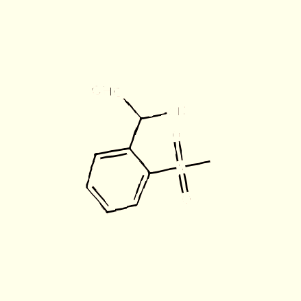 CS(=O)(=O)c1ccccc1C(O)C=O